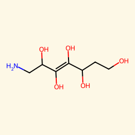 NCC(O)/C(O)=C(\O)C(O)CCO